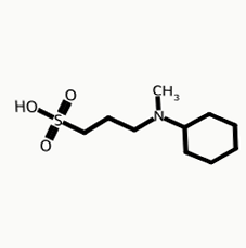 CN(CCCS(=O)(=O)O)C1CCCCC1